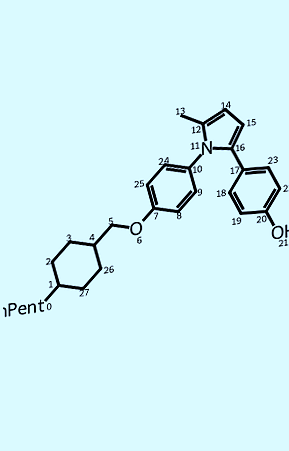 CCCCCC1CCC(COc2ccc(-n3c(C)ccc3-c3ccc(O)cc3)cc2)CC1